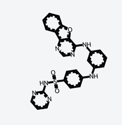 O=S(=O)(Nc1ncccn1)c1ccc(Nc2cccc(Nc3ncnc4c3oc3ccccc34)c2)cc1